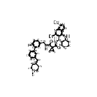 CCc1nc2c(cnn2CC)c(NC2CCOCC2)c1CNC(=O)C1(C(=O)NCc2ccc(F)c(-c3cccc(CC4CCN(C)CC4)c3)c2)CC1